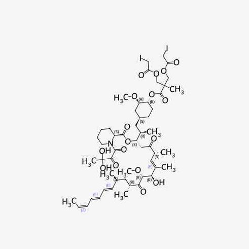 C\C=C/C=C/C=C/[C@@H](C)C[C@@H](C)C(=O)[C@H](OC)[C@H](O)/C(C)=C/[C@@H](C)C(=O)C[C@H](OC(=O)[C@@H]1CCCCN1C(=O)C(=O)C(C)(O)O)[C@H](C)C[C@@H]1CC[C@@H](OC(=O)C(C)(COC(=O)CI)COC(=O)CI)[C@H](OC)C1